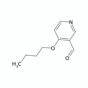 CCCCOc1ccncc1C=O